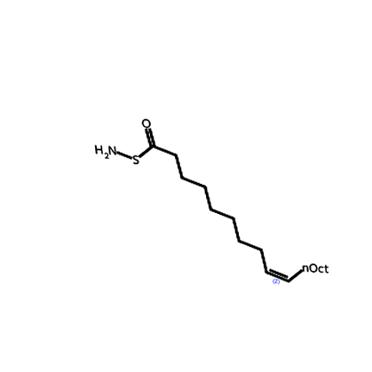 CCCCCCCC/C=C\CCCCCCCC(=O)SN